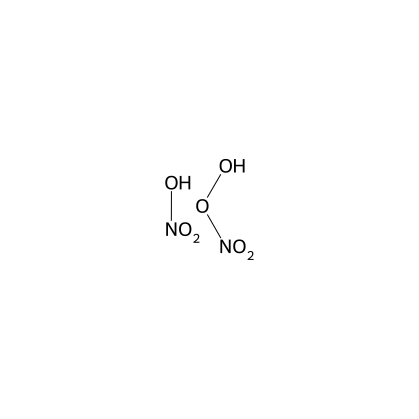 O=[N+]([O-])O.O=[N+]([O-])OO